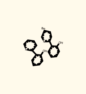 Oc1ccccc1-c1ccccn1.Oc1ccccc1-c1ccccn1.[Be]